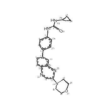 O=C(Nc1ccc(-c2ccc3ncc(N4CCOCC4)nc3c2)cc1)NC1CC1